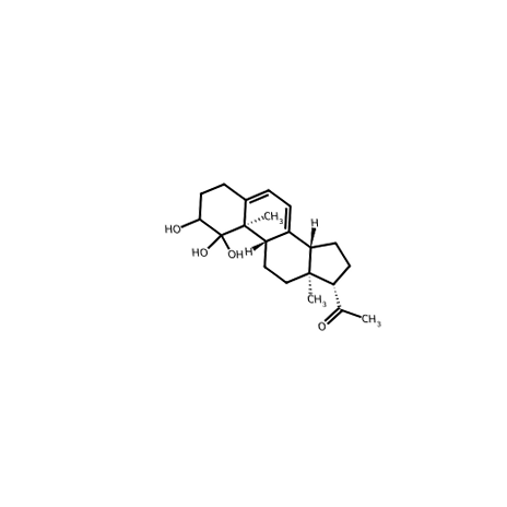 CC(=O)[C@H]1CC[C@H]2C3=CC=C4CCC(O)C(O)(O)[C@]4(C)[C@H]3CC[C@]12C